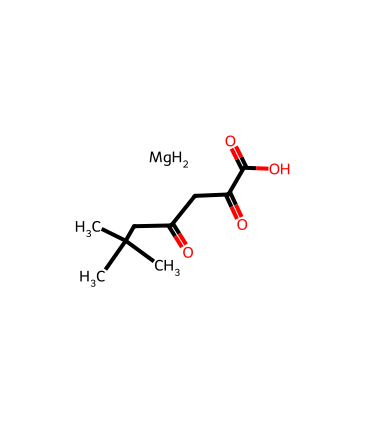 CC(C)(C)CC(=O)CC(=O)C(=O)O.[MgH2]